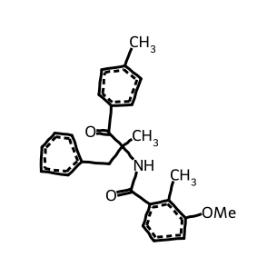 COc1cccc(C(=O)NC(C)(Cc2ccccc2)C(=O)c2ccc(C)cc2)c1C